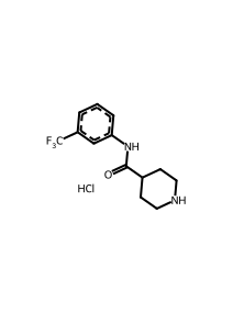 Cl.O=C(Nc1cccc(C(F)(F)F)c1)C1CCNCC1